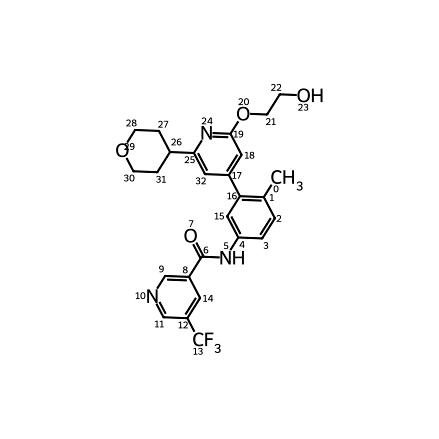 Cc1ccc(NC(=O)c2cncc(C(F)(F)F)c2)cc1-c1cc(OCCO)nc(C2CCOCC2)c1